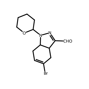 O=CC1=NN(C2CCCCO2)C2CC=C(Br)CC12